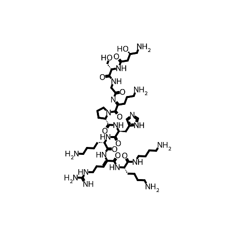 N=C(N)NCC/C=C(\NC(=O)[C@H](CCCCN)NC(=O)[C@H](Cc1cnc[nH]1)NC(=O)[C@@H]1CCCN1C(=O)/C(CCCN)=N/C(=O)CNC(=O)[C@H](CO)NC(=O)C[C@@H](O)CN)C(=O)N[C@@H](CCCCN)C(=O)NCCCCN